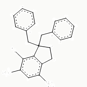 Cc1cc(N)c2c(c1I)C(Cc1ccccc1)(Cc1ccccc1)CC2